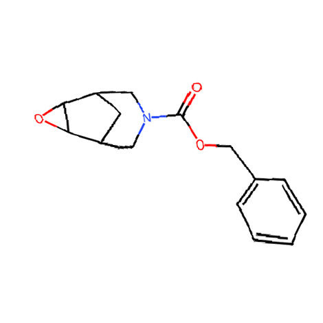 O=C(OCc1ccccc1)N1CC2CC(C1)C1OC21